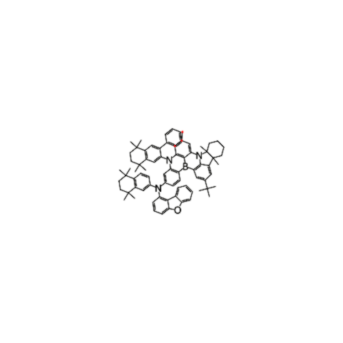 Cc1cc2c3c(c1)N1c4c(cc(C(C)(C)C)cc4C4(C)CCCCC14C)B3c1ccc(N(c3ccc4c(c3)C(C)(C)CCC4(C)C)c3cccc4oc5ccccc5c34)cc1N2c1cc2c(cc1-c1ccccc1)C(C)(C)CCC2(C)C